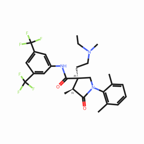 CCN(C)CC[C@]1(C(=O)Nc2cc(C(F)(F)F)cc(C(F)(F)F)c2)CN(c2c(C)cccc2C)C(=O)[C@H]1C